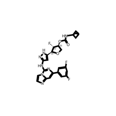 O=C(NC12CC(C1)C2)O[C@H]1CO[C@@H](c2cc(Nc3nc(-c4cc(F)cc(F)c4)cc4nccn34)n[nH]2)[C@@H]1F